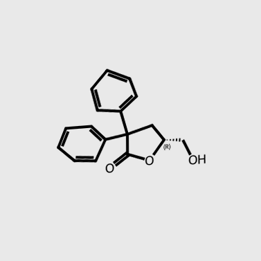 O=C1O[C@@H](CO)CC1(c1ccccc1)c1ccccc1